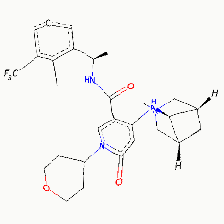 Cc1c([C@@H](C)NC(=O)c2cn(C3CCOCC3)c(=O)cc2N[C@@H]2[C@@H]3C[C@H]2CN(C)C3)cccc1C(F)(F)F